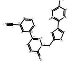 Cc1cnc(-c2csc(Cn3nc(-c4cccc(C#N)c4)ccc3=O)c2)nc1